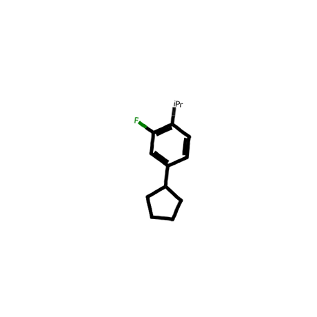 CC(C)c1ccc(C2CCCC2)cc1F